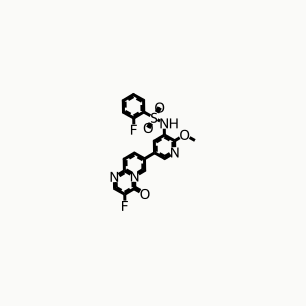 COc1ncc(-c2ccc3ncc(F)c(=O)n3c2)cc1NS(=O)(=O)c1ccccc1F